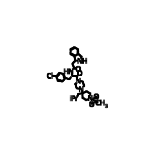 CC(C)CC1(N2CCN(C(=O)[C@@H](Cc3ccc(Cl)cc3)NC(=O)CC3NCc4ccccc43)CC2)CCN(S(C)(=O)=O)CC1